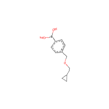 OB(O)c1ccc(COCC2CC2)cc1